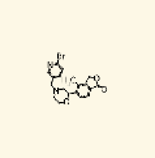 Cc1c(C2CN(Cc3ccc(Br)nc3)CCO2)ccc2c1COC2=O